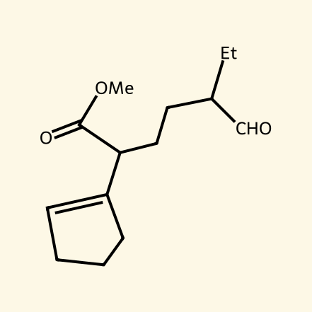 CCC(C=O)CCC(C(=O)OC)C1=CCCC1